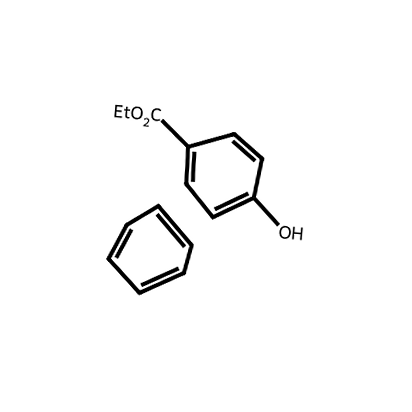 CCOC(=O)c1ccc(O)cc1.c1ccccc1